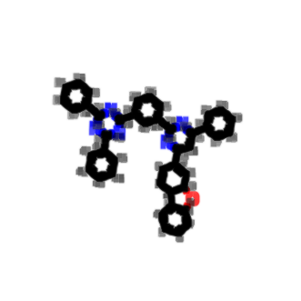 C1=CC2c3ccccc3OC2C=C1c1cc(-c2ccccc2)nc(-c2cccc(-c3nc(-c4ccccc4)nc(-c4ccccc4)n3)c2)n1